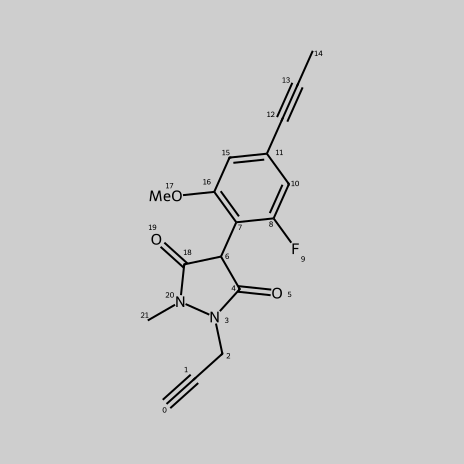 C#CCN1C(=O)C(c2c(F)cc(C#CC)cc2OC)C(=O)N1C